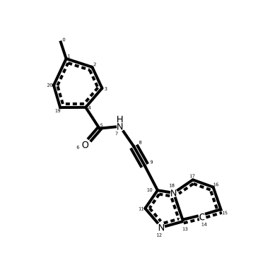 Cc1ccc(C(=O)NC#Cc2cnc3ccccn23)cc1